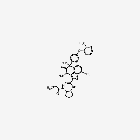 C=CC(=O)N[C@H]1CCC[C@H]1NC(=O)c1sc2c(N)ccc3c2c1C(N)C(=O)C3(N)c1ccc(Oc2cccnc2C)cc1